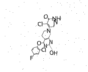 O=c1[nH]ncc(N2CCc3c(nc(CO)nc3Oc3ccc(F)cc3Cl)C2)c1Cl